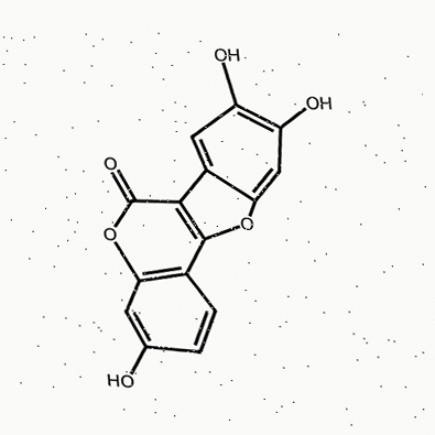 O=c1oc2cc(O)ccc2c2oc3cc(O)c(O)cc3c12